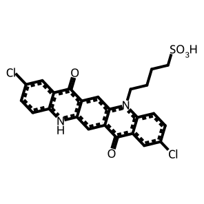 O=c1c2cc(Cl)ccc2[nH]c2cc3c(=O)c4cc(Cl)ccc4n(CCCCS(=O)(=O)O)c3cc12